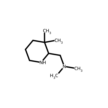 CN(C)CC1NCCCC1(C)C